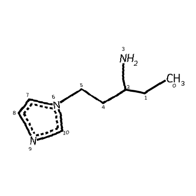 CCC(N)CCn1ccnc1